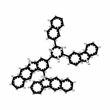 c1ccc2cc(-c3nc(-c4cc(-n5c6ccccc6c6cc7ccccc7cc65)c5c(c4)oc4cc6ccccc6cc45)nc(-c4ccc5oc6ccccc6c5c4)n3)ccc2c1